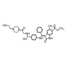 COC(=O)c1cc2c(cc1C)/C(=C(/Nc1ccc(C(O)NCC(=O)N3CCN(CCO)CC3)cc1)c1ccccc1)C(=O)N2